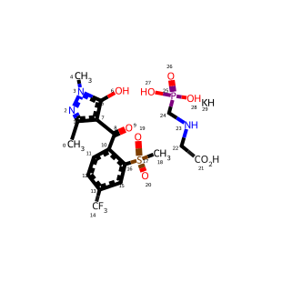 Cc1nn(C)c(O)c1C(=O)c1ccc(C(F)(F)F)cc1S(C)(=O)=O.O=C(O)CNCP(=O)(O)O.[KH]